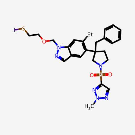 CCc1cc2c(cnn2COCCSI)cc1C1(Cc2ccccc2)CCN(S(=O)(=O)c2cnn(C)n2)C1